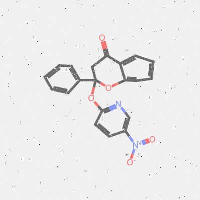 O=C1CC(Oc2ccc([N+](=O)[O-])cn2)(c2ccccc2)Oc2ccccc21